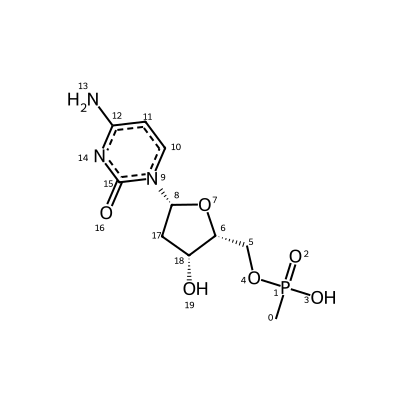 CP(=O)(O)OC[C@H]1O[C@@H](n2ccc(N)nc2=O)C[C@H]1O